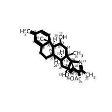 C=C1C=C[C@@]2(C)C(=C1)CC[C@@H]1[C@@H]2[C@@H](O)C[C@@]2(C)[C@H]1C[C@H]1OC(C)=N[C@]12C(=O)COC(C)=O